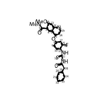 CNC(=O)c1cc2c(Oc3ccc(NC(=S)NC(=O)Cc4ccccc4)c(F)c3)ccnc2cc1OC